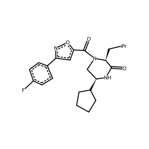 CC(C)C[C@H]1C(=O)N[C@@H](C2CCCC2)CN1C(=O)c1cc(-c2ccc(F)cc2)no1